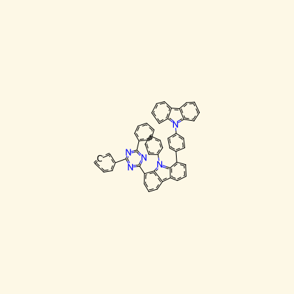 c1ccc(-c2nc(-c3ccccc3)nc(-c3cccc4c5cccc(-c6ccc(-n7c8ccccc8c8ccccc87)cc6)c5n(-c5ccccc5)c34)n2)cc1